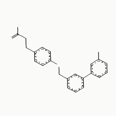 O=C(O)CCc1ccc(OCc2cccc(-c3cccc(F)c3)c2)cc1